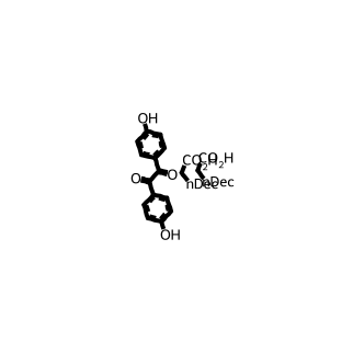 CCCCCCCCCCCC(=O)O.CCCCCCCCCCCC(=O)O.O=C(C(=O)c1ccc(O)cc1)c1ccc(O)cc1